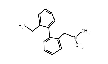 CN(C)Cc1ccccc1-c1ccccc1CN